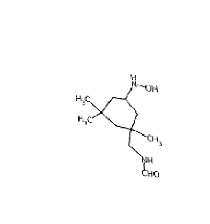 CC1(C)CC(NO)CC(C)(CNC=O)C1